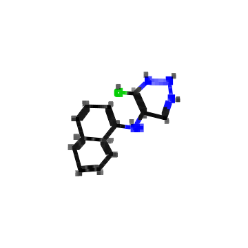 Clc1nnncc1Nc1cccc2ccccc12